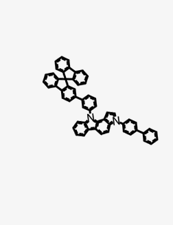 c1ccc(-c2ccc(-n3ccc4c3ccc3c5ccccc5n(-c5cccc(-c6ccc7c(c6)C6(c8ccccc8-c8ccccc86)c6ccccc6-7)c5)c34)cc2)cc1